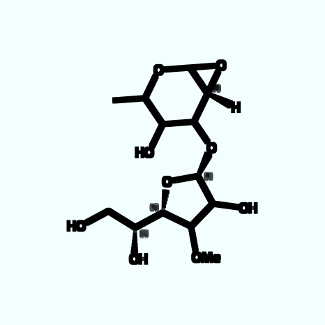 COC1C(O)[C@H](OC2C(O)C(C)OC3O[C@@H]32)O[C@H]1[C@H](O)CO